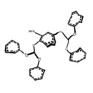 COc1cc(OC(Oc2ccccc2)Oc2ccccc2)ccc1OC(Oc1ccccc1)Oc1ccccc1